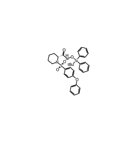 CC(C)(C)[Si](ONC(=O)[C@H]1CCCCN1S(=O)(=O)c1ccc(Oc2ccccc2)cc1)(c1ccccc1)c1ccccc1